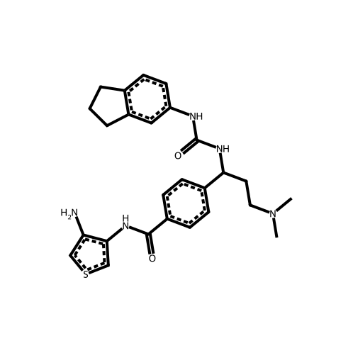 CN(C)CCC(NC(=O)Nc1ccc2c(c1)CCC2)c1ccc(C(=O)Nc2cscc2N)cc1